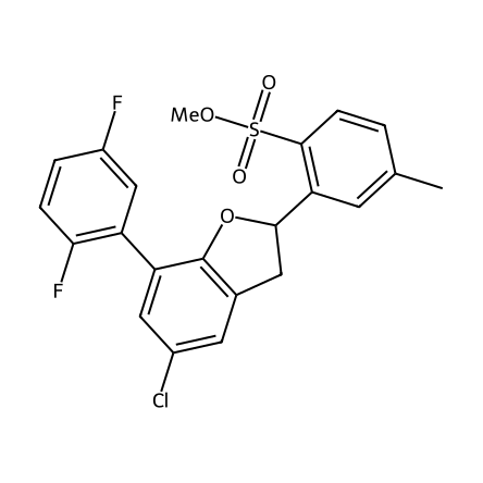 COS(=O)(=O)c1ccc(C)cc1C1Cc2cc(Cl)cc(-c3cc(F)ccc3F)c2O1